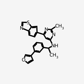 Cc1nc(NC(C)c2cccc(-c3ccoc3)c2)cc(-c2ccc3ncsc3c2)n1